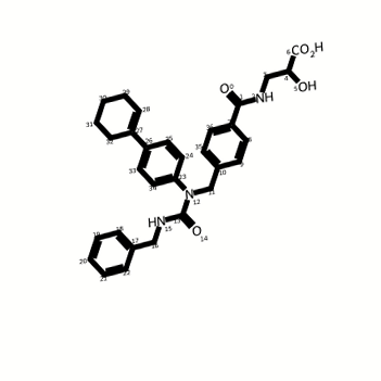 O=C(NCC(O)C(=O)O)c1ccc(CN(C(=O)NCc2ccccc2)c2ccc(C3=CCCCC3)cc2)cc1